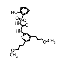 COCCCc1cc(CCCOC)nc(NC(=O)NS(=O)(=O)c2ccccc2O)c1